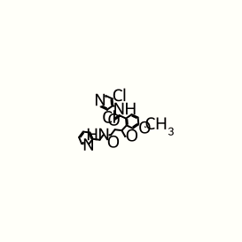 COc1ccc(C(=O)Nc2c(Cl)cncc2Cl)c2c1OCC2CC(=O)NCc1ccccn1